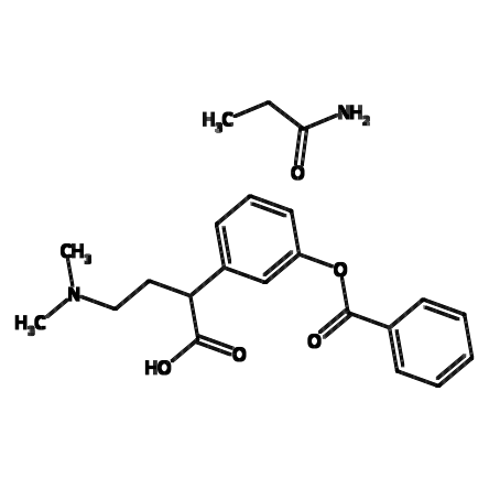 CCC(N)=O.CN(C)CCC(C(=O)O)c1cccc(OC(=O)c2ccccc2)c1